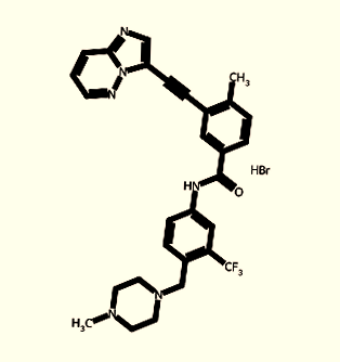 Br.Cc1ccc(C(=O)Nc2ccc(CN3CCN(C)CC3)c(C(F)(F)F)c2)cc1C#Cc1cnc2cccnn12